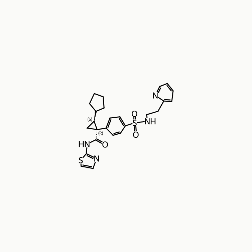 O=C(Nc1nccs1)[C@]1(c2ccc(S(=O)(=O)NCCc3ccccn3)cc2)C[C@H]1C1CCCC1